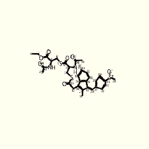 CCOC(=O)C(CSC(=O)C(CSC(=O)CC1=C(C)/C(=C/c2ccc([S+](C)[O-])cc2)c2ccc(F)cc21)NC(C)=O)NC(C)=O